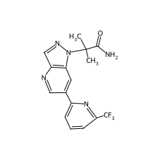 CC(C)(C(N)=O)n1ncc2ncc(-c3cccc(C(F)(F)F)n3)cc21